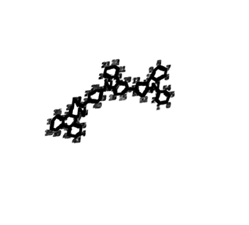 c1ccc(-n2c3ccccc3c3cc(-c4ccc5c(c4)c4ccccc4n5-c4ccc(-c5ncc6c7ccccc7c7ccccc7c6n5)cc4)ccc32)cc1